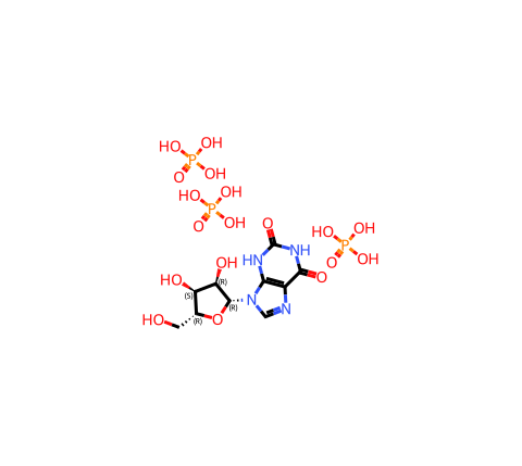 O=P(O)(O)O.O=P(O)(O)O.O=P(O)(O)O.O=c1[nH]c(=O)c2ncn([C@@H]3O[C@H](CO)[C@@H](O)[C@H]3O)c2[nH]1